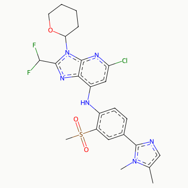 Cc1cnc(-c2ccc(Nc3cc(Cl)nc4c3nc(C(F)F)n4C3CCCCO3)c(S(C)(=O)=O)c2)n1C